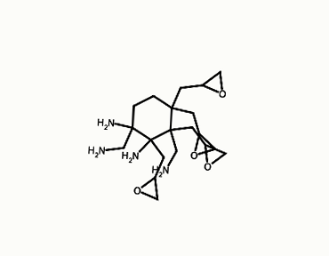 NCC1(N)CCC(CC2CO2)(CC2CO2)C(CN)(CC2CO2)C1(N)CC1CO1